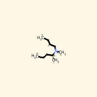 CCCCN(C)[C@H](C)CCC